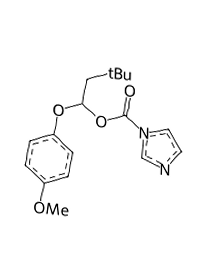 COc1ccc(OC(CC(C)(C)C)OC(=O)n2ccnc2)cc1